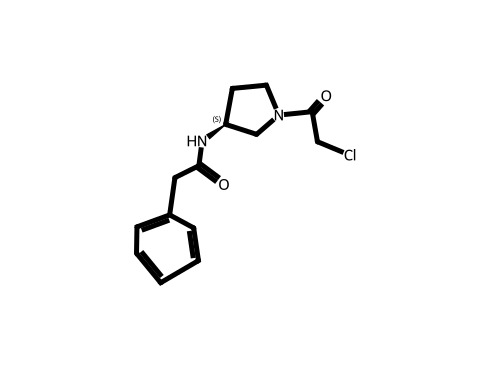 O=C(Cc1ccccc1)N[C@H]1CCN(C(=O)CCl)C1